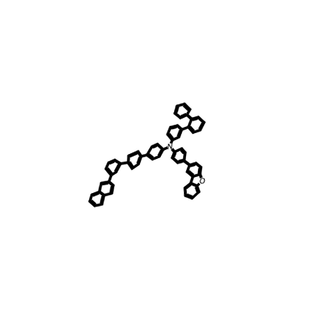 c1ccc(-c2ccccc2-c2cccc(N(c3ccc(-c4ccc(-c5cccc(-c6ccc7ccccc7c6)c5)cc4)cc3)c3ccc(-c4ccc5oc6ccccc6c5c4)cc3)c2)cc1